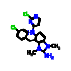 CN1c2ccc(Nc3ccnc(Cl)n3)c(Cc3ccc(Cl)cc3)c2N(C)C1N